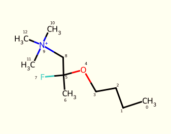 CCCCOC(C)(F)C[N+](C)(C)C